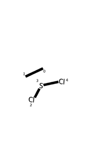 CC.ClSCl